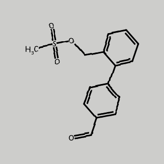 CS(=O)(=O)OCc1ccccc1-c1ccc(C=O)cc1